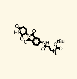 CN(CCC(=O)Nc1ccc2c(c1)C(=O)N(C1CCC(=O)NC1=O)C2=O)C(=O)OC(C)(C)C